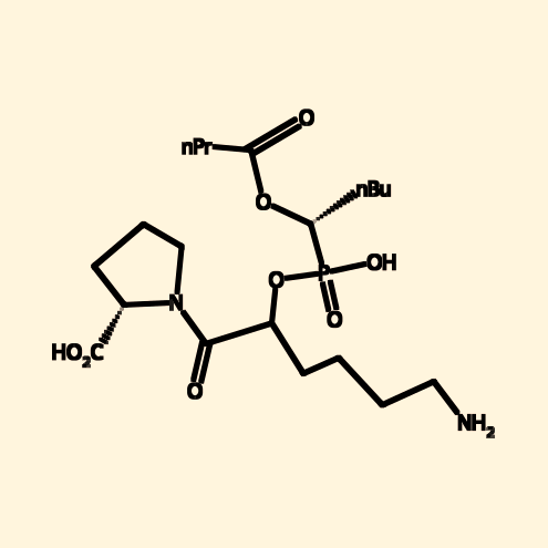 CCCC[C@@H](OC(=O)CCC)P(=O)(O)OC(CCCCN)C(=O)N1CCC[C@H]1C(=O)O